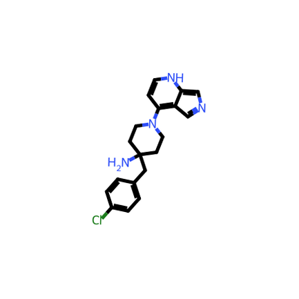 NC1(Cc2ccc(Cl)cc2)CCN(c2cc[nH]c3cncc2-3)CC1